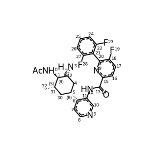 CC(=O)N[C@H]1[C@H](N)C[C@H](c2ccncc2NC(=O)c2ccc(F)c(-c3c(F)cccc3F)n2)C[C@@H]1C